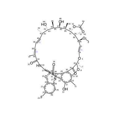 CO[C@H]1/C=C/O[C@@]2(C)Oc3c(C)c(O)c4c(=O)c(c5oc6cc(F)ccc6nc-5c4c3C2=O)NC(=O)/C(C)=C\C=C\[C@H](C)[C@H](O)[C@@H](C)[C@@H](O)[C@@H](C)[C@H](OC(C)=O)[C@@H]1C